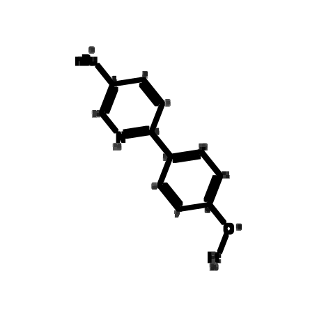 CCCCc1ccc(-c2ccc(OCC)cc2)nc1